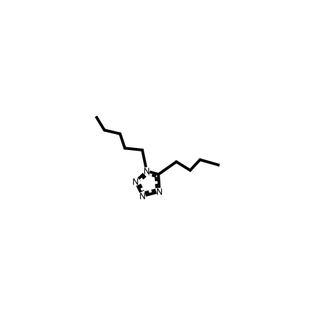 CCCCCn1nnnc1CCCC